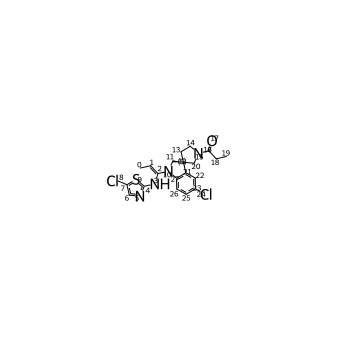 CC=C(Nc1ncc(Cl)s1)N1C[C@]2(CCN(C(=O)CC)C2)c2cc(Cl)ccc21